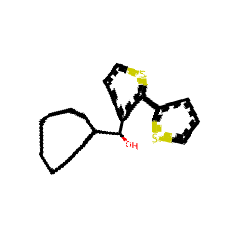 OC(c1ccsc1-c1cccs1)C1CCCCC1